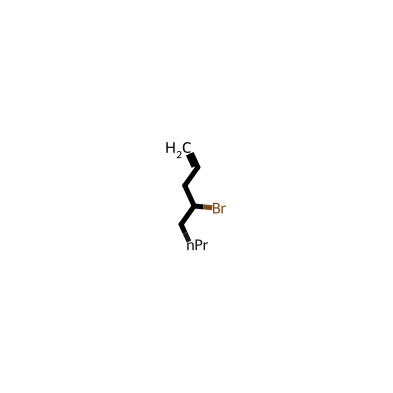 C=CC[C](Br)CCCC